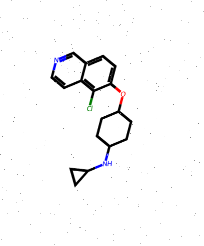 Clc1c(OC2CCC(NC3CC3)CC2)ccc2cnccc12